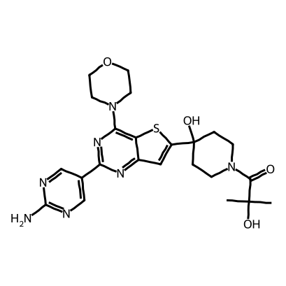 CC(C)(O)C(=O)N1CCC(O)(c2cc3nc(-c4cnc(N)nc4)nc(N4CCOCC4)c3s2)CC1